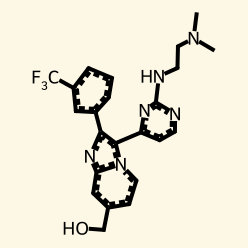 CN(C)CCNc1nccc(-c2c(-c3cccc(C(F)(F)F)c3)nc3cc(CO)ccn23)n1